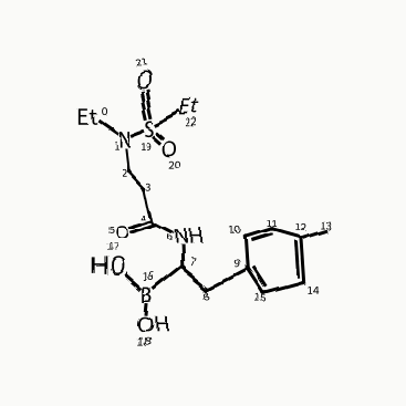 CCN(CCC(=O)NC(Cc1ccc(C)cc1)B(O)O)S(=O)(=O)CC